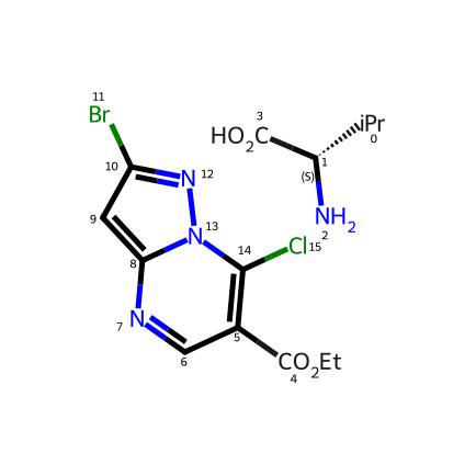 CC(C)[C@H](N)C(=O)O.CCOC(=O)c1cnc2cc(Br)nn2c1Cl